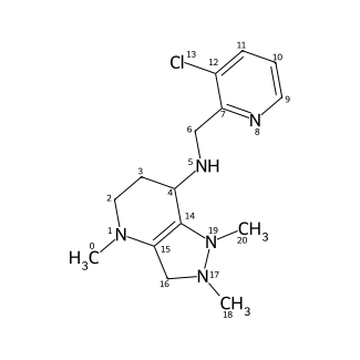 CN1CCC(NCc2ncccc2Cl)C2=C1CN(C)N2C